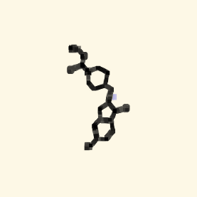 CC(C)(C)OC(=O)N1CCC(/C=C2\Cc3cc(Br)ccc3C2=O)CC1